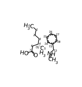 CCCC[C@H](C)CC(=O)O.CNCc1ccccc1